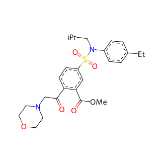 CCc1ccc(N(CC(C)C)S(=O)(=O)c2ccc(C(=O)CN3CCOCC3)c(C(=O)OC)c2)cc1